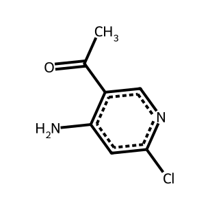 CC(=O)c1cnc(Cl)cc1N